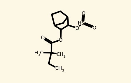 CCC(C)(C)C(=O)OC1C2CCC(C2)C1O[SH](=O)=O